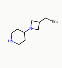 CC(C)(C)CC1CN(C2CCNCC2)C1